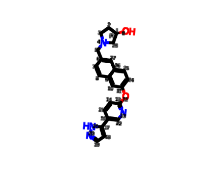 O[C@@H]1CCN(Cc2ccc3cc(Oc4ccc(-c5ccn[nH]5)cn4)ccc3c2)C1